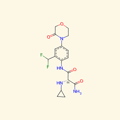 NC(=O)[C@H](NC1CC1)C(=O)Nc1ccc(N2CCOCC2=O)cc1C(F)F